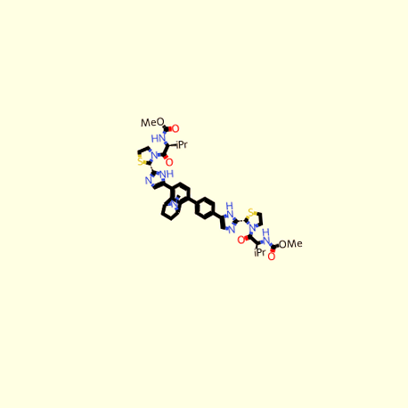 COC(=O)N[C@H](C(=O)N1CCS[C@H]1c1ncc(-c2ccc(-c3ccc(-c4cnc([C@@H]5SCCN5C(=O)[C@@H](NC(=O)OC)C(C)C)[nH]4)c4c3C3CCC4N3C)cc2)[nH]1)C(C)C